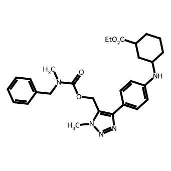 CCOC(=O)C1CCCC(Nc2ccc(-c3nnn(C)c3COC(=O)N(C)Cc3ccccc3)cc2)C1